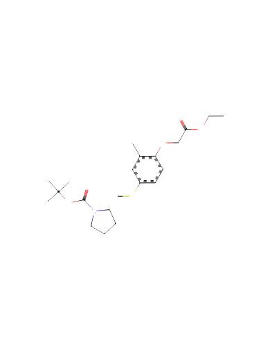 CCOC(=O)COc1ccc(SC[C@@H]2CCCN2C(=O)OC(C)(C)C)cc1C